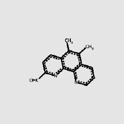 Cc1c(C)c2ccc(C=O)nc2c2ncccc12